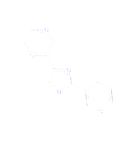 c1cncc(-c2noc(-c3cnccn3)n2)c1